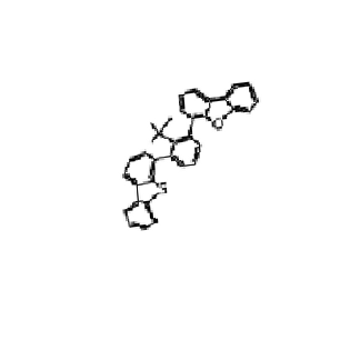 CC(C)(C)c1c(-c2cccc3c2oc2ccccc23)cccc1-c1cccc2c1sc1ccccc12